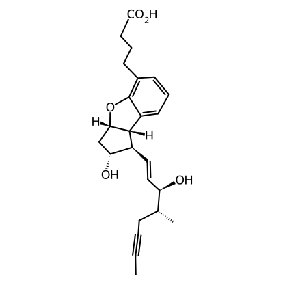 CC#CC[C@@H](C)[C@H](O)C=C[C@@H]1[C@H]2c3cccc(CCCC(=O)O)c3O[C@H]2C[C@H]1O